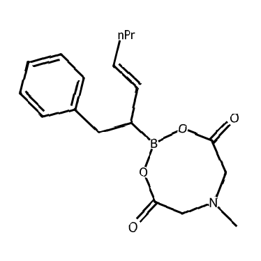 CCCC=CC(Cc1ccccc1)B1OC(=O)CN(C)CC(=O)O1